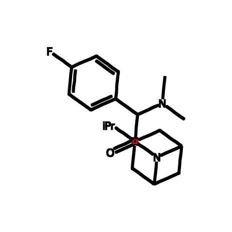 CC(C)N1CC2CC(C1)N2C(=O)C(c1ccc(F)cc1)N(C)C